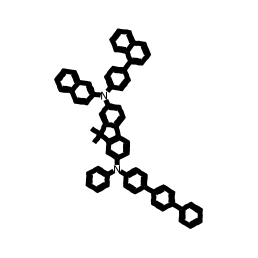 CC1(C)c2cc(N(c3ccccc3)c3ccc(-c4ccc(-c5ccccc5)cc4)cc3)ccc2-c2ccc(N(c3ccc(-c4cccc5ccccc45)cc3)c3ccc4ccccc4c3)cc21